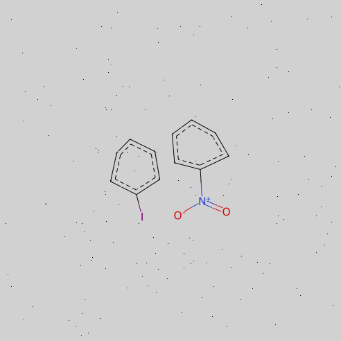 Ic1ccccc1.O=[N+]([O-])c1ccccc1